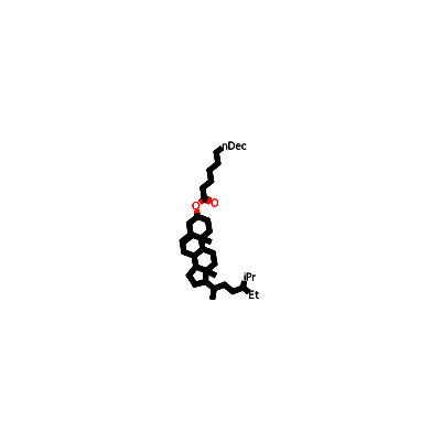 CCCCCCCCCCCCCCCC(=O)OC1CCC2(C)C(=CCC3C2CCC2(C)C(C(C)CCC(CC)C(C)C)CCC32)C1